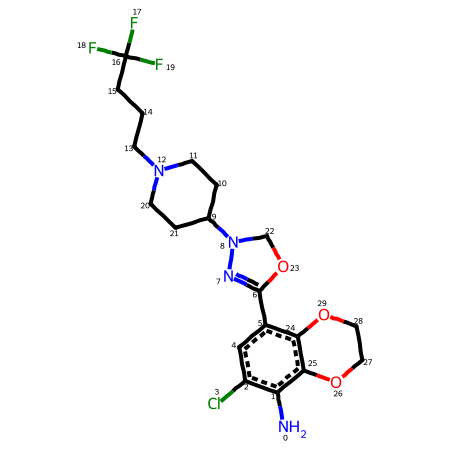 Nc1c(Cl)cc(C2=NN(C3CCN(CCCC(F)(F)F)CC3)CO2)c2c1OCCO2